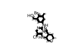 Cc1cc(Nc2ncc(Cl)c(NC3COCCC3C#N)n2)cc(CO)c1Br